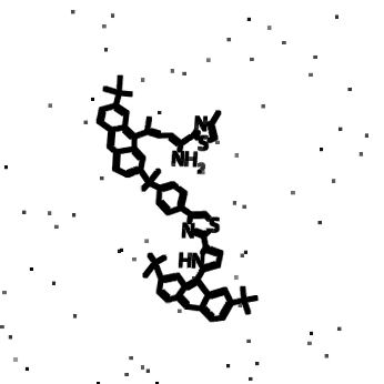 C/C(=C\C=C(/N)c1nc(C)cs1)c1c2cc(C(C)(C)C)ccc2cc2ccc(C(C)(C)c3ccc(-c4csc(-c5ccc(-c6c7cc(C(C)(C)C)ccc7cc7ccc(C(C)(C)C)cc67)[nH]5)n4)cc3)cc12